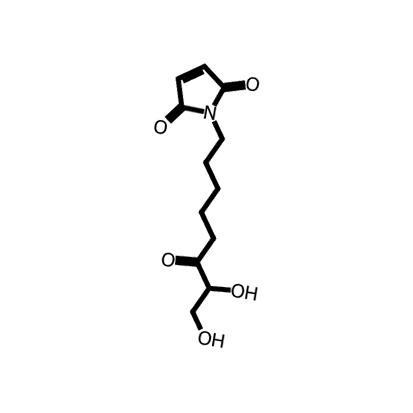 O=C(CCCCCN1C(=O)C=CC1=O)C(O)CO